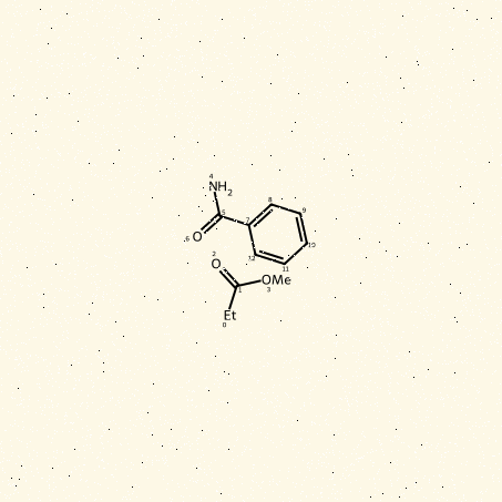 CCC(=O)OC.NC(=O)c1ccccc1